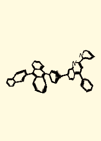 c1ccc(-c2cc(-c3ccccn3)nc3cc(-c4ccc(-c5c6ccccc6c(-c6ccc7ccccc7c6)c6ccccc56)cc4)ccc23)cc1